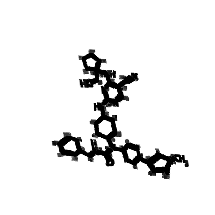 Cn1cc(-c2ccc(N(C(=O)NCc3ccccc3)C3CCC(Nc4ncc(C#N)c(NC5(CO)CCCC5)n4)CC3)nc2)cn1